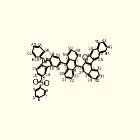 O=S(=O)(c1ccccc1)c1ccc2c(c1)c1cc(-c3c4ccccc4c(-c4cc5ccccc5c5c4oc4cc6ccccc6cc45)c4ccccc34)ccc1n2-c1ccccc1